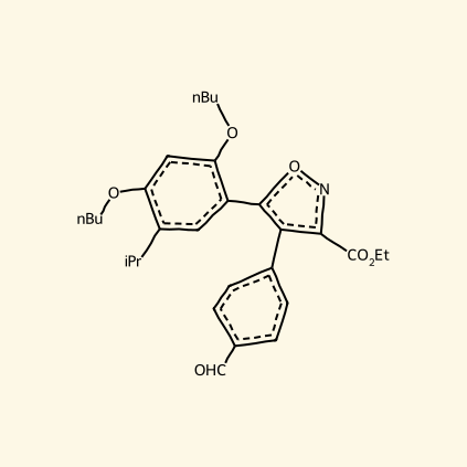 CCCCOc1cc(OCCCC)c(C(C)C)cc1-c1onc(C(=O)OCC)c1-c1ccc(C=O)cc1